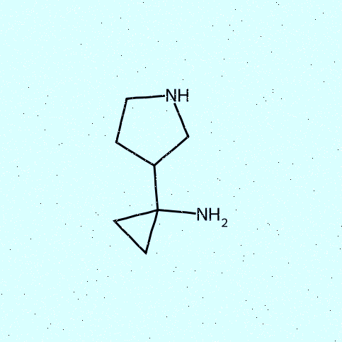 NC1(C2CCNC2)CC1